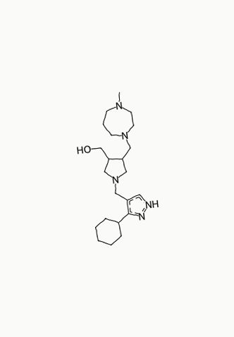 CN1CCCN(CC2CN(Cc3c[nH]nc3C3CCCCC3)CC2CO)CC1